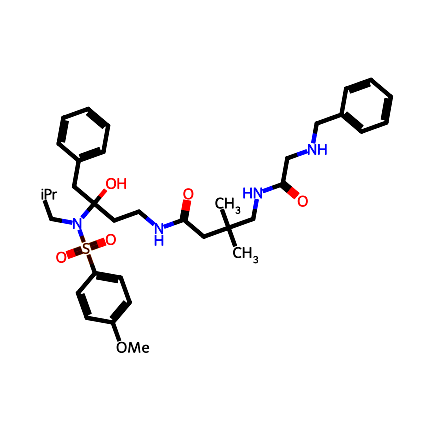 COc1ccc(S(=O)(=O)N(CC(C)C)C(O)(CCNC(=O)CC(C)(C)CNC(=O)CNCc2ccccc2)Cc2ccccc2)cc1